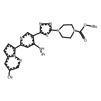 CC(C)Nc1cc(-c2ccc3cc(C#N)cnn23)ncc1-c1nnc(N2CCN(C(=O)OC(C)(C)C)CC2)s1